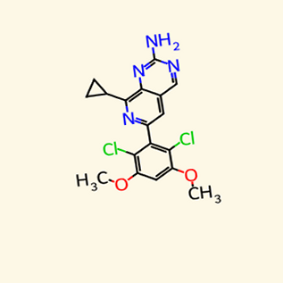 COc1cc(OC)c(Cl)c(-c2cc3cnc(N)nc3c(C3CC3)n2)c1Cl